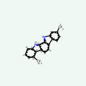 FC(F)(F)c1ccc2c(c1)N=c1c-2ccc2c1=Nc1cccc(C(F)(F)F)c1-2